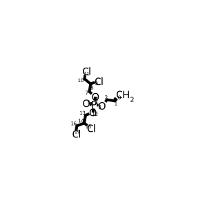 C=CCOP(=O)(OCC(Cl)CCl)OCC(Cl)CCl